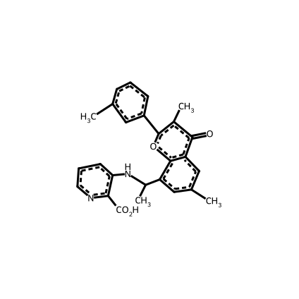 Cc1cccc(-c2oc3c(C(C)Nc4cccnc4C(=O)O)cc(C)cc3c(=O)c2C)c1